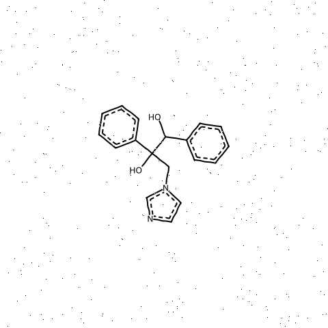 OC(c1ccccc1)C(O)(Cn1ccnc1)c1ccccc1